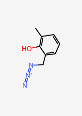 Cc1cccc(CN=[N+]=[N-])c1O